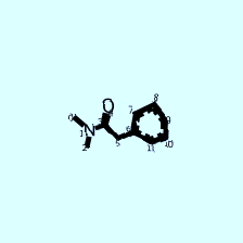 CN(C)C(=O)Cc1ccccc1